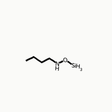 CCCCNO[SiH3]